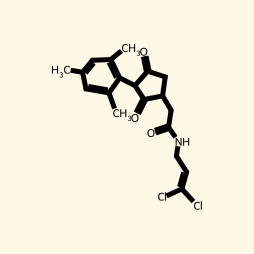 Cc1cc(C)c(C2C(=O)CC(CC(=O)NCC=C(Cl)Cl)C2=O)c(C)c1